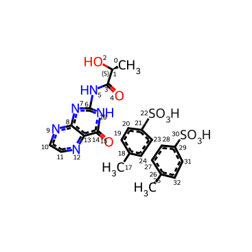 C[C@H](O)C(=O)Nc1nc2nccnc2c(=O)[nH]1.Cc1ccc(S(=O)(=O)O)cc1.Cc1ccc(S(=O)(=O)O)cc1